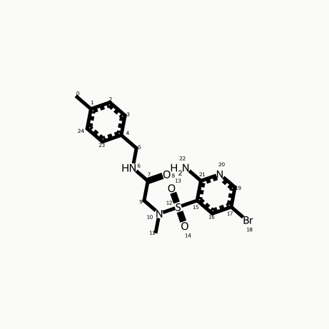 Cc1ccc(CNC(=O)CN(C)S(=O)(=O)c2cc(Br)cnc2N)cc1